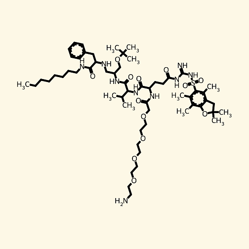 CCCCCCCCNC(=O)C(Cc1ccccc1)NCC(COC(C)(C)C)NC(=O)C(NC(=O)C(CCC(=O)NC(=N)NS(=O)(=O)c1c(C)c(C)c2c(c1C)CC(C)(C)O2)NC(=O)COCCOCCOCCOCCN)C(C)C